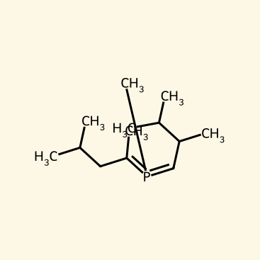 C/C(CC(C)C)=P(/C)=C\C(C)C(C)C